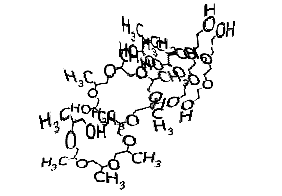 C=C(C)C(=O)O.C=C(C)C(=O)O.CC(O)COC(C)COC(C)COC(C)COC(C)COC(C)COC(C)COC(C)COC(C)COC(C)CO.OCCOCCOCCO.OCCOCCOCCO